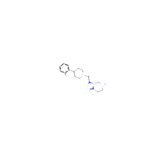 CN1CCc2nnc(C(O)N3CCC(c4ccccc4C(F)(F)F)CC3)n2C1